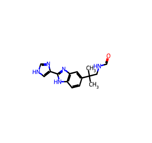 CC(C)(CNC=O)c1ccc2[nH]c(-c3c[nH]cn3)nc2c1